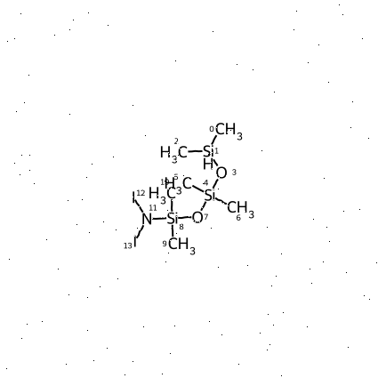 C[SiH](C)O[Si](C)(C)O[Si](C)(C)N(I)I